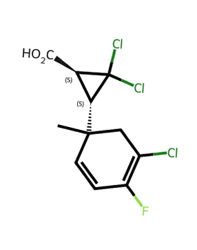 CC1([C@@H]2[C@@H](C(=O)O)C2(Cl)Cl)C=CC(F)=C(Cl)C1